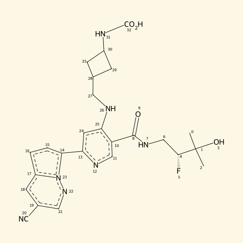 CC(C)(O)[C@H](F)CNC(=O)c1cnc(-c2ccc3cc(C#N)cnn23)cc1NCC1CC(NC(=O)O)C1